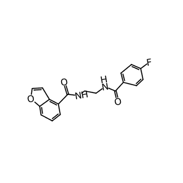 O=C(NCCNC(=O)c1cccc2occc12)c1ccc(F)cc1